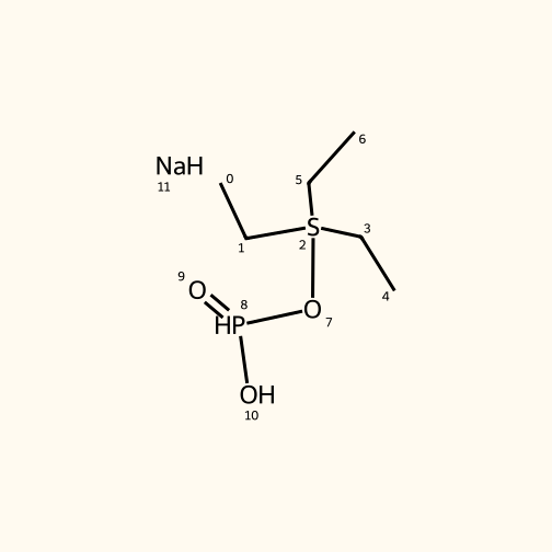 CCS(CC)(CC)O[PH](=O)O.[NaH]